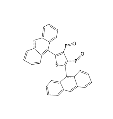 O=Pc1c(-c2c3ccccc3cc3ccccc23)sc(-c2c3ccccc3cc3ccccc23)c1P=O